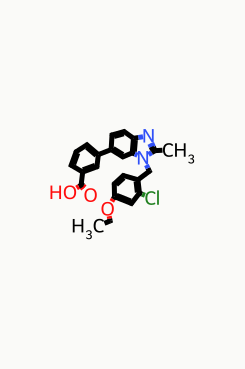 CCOc1ccc(Cn2c(C)nc3ccc(-c4cccc(C(=O)O)c4)cc32)c(Cl)c1